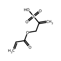 C=CC(=O)OCC(=C)S(=O)(=O)O